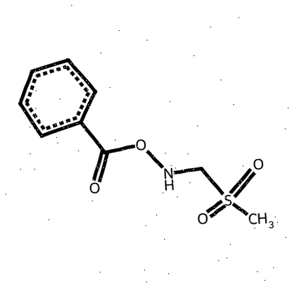 CS(=O)(=O)CNOC(=O)c1ccccc1